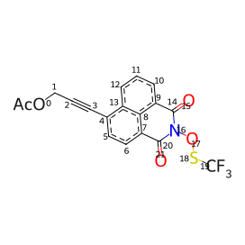 CC(=O)OCC#Cc1ccc2c3c(cccc13)C(=O)N(OSC(F)(F)F)C2=O